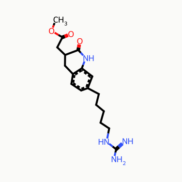 COC(=O)CC1Cc2ccc(CCCCCNC(=N)N)cc2NC1=O